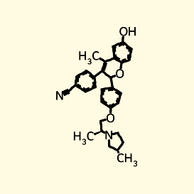 CC1=C(c2ccc(C#N)cc2)C(c2ccc(OC[C@H](C)N3CC[C@@H](C)C3)cc2)Oc2ccc(O)cc21